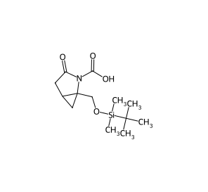 CC(C)(C)[Si](C)(C)OCC12CC1CC(=O)N2C(=O)O